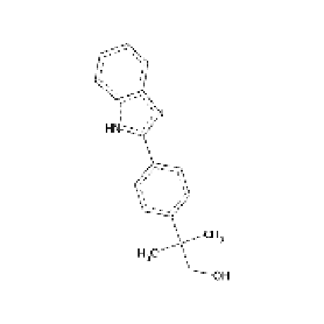 CC(C)(CO)c1ccc(-c2nc3ccccc3[nH]2)cc1